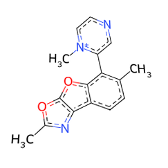 Cc1nc2c(o1)oc1c(-c3cncc[n+]3C)c(C)ccc12